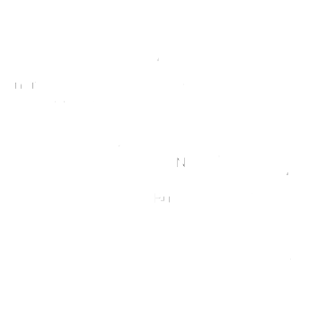 CCCOc1cccc(N(Cc2ccccc2)C(C)CC)c1